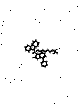 CC1CC2C(c3ccccc3)=CC=CC2C1[Si](C)(CCCCCCOC(C)(C)C)C1C2C=CC=CC2C2C=CC=CC21